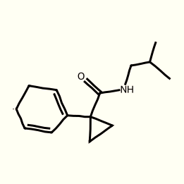 CC(C)CNC(=O)C1(C2=CC[CH]C=C2)CC1